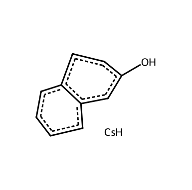 Oc1ccc2ccccc2c1.[CsH]